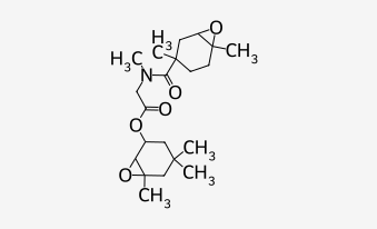 CN(CC(=O)OC1CC(C)(C)CC2(C)OC12)C(=O)C1(C)CCC2(C)OC2C1